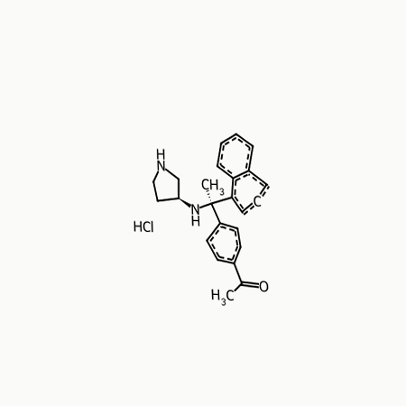 CC(=O)c1ccc([C@@](C)(N[C@H]2CCNC2)c2cccc3ccccc23)cc1.Cl